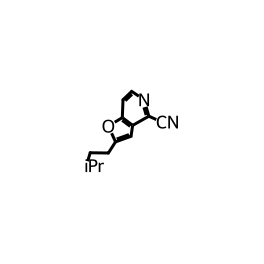 CC(C)CCc1cc2c(C#N)nccc2o1